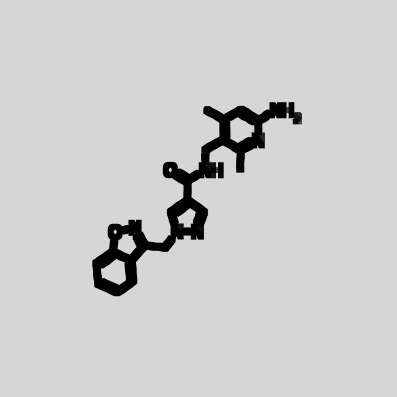 Cc1cc(N)nc(C)c1CNC(=O)c1cnn(Cc2noc3ccccc23)c1